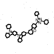 c1ccc(-c2nc(-c3ccccc3)nc(-c3ccc4c(c3)oc3ccc(-c5ccc6c(c5)c5ccccc5n6-c5ccc6c(c5)c5ccccc5n6-c5ccccc5)cc34)n2)cc1